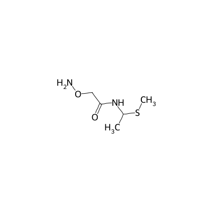 CSC(C)NC(=O)CON